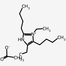 CC(=O)[O-].CCCCc1[nH]c(CC)c(CCCC)[n+]1CC